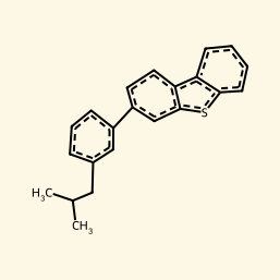 CC(C)Cc1cccc(-c2ccc3c(c2)sc2ccccc23)c1